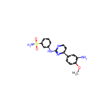 COc1ccc(-c2ccnc(Nc3cccc(S(N)(=O)=O)c3)n2)cc1N